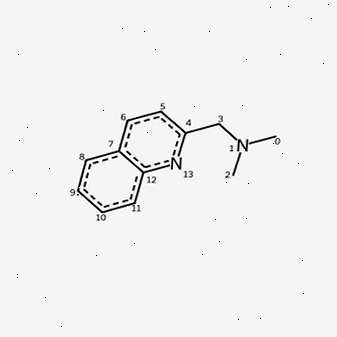 CN(C)Cc1ccc2c[c]ccc2n1